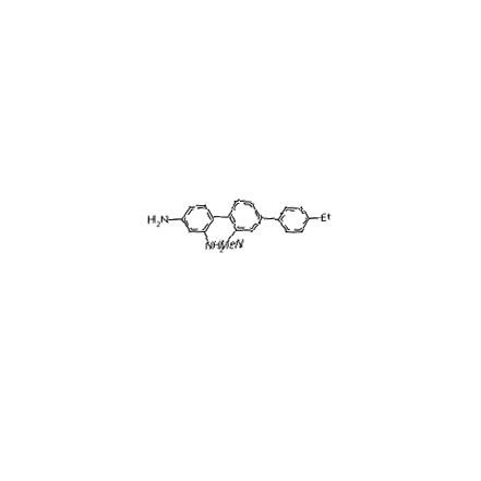 CCc1ccc(-c2ccc(-c3ccc(N)cc3N)c(NC)c2)cc1